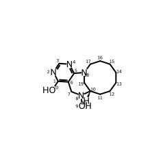 Oc1ncnc2c1CN(O)[C@H]1CCCCCCCN2C1